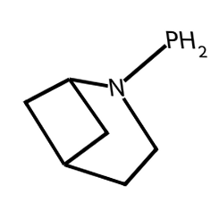 PN1CCC2CC1C2